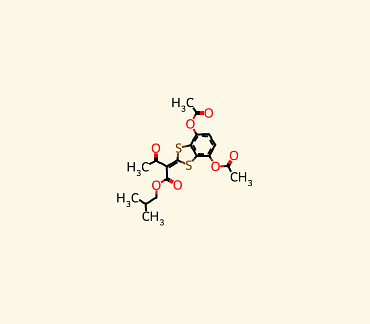 CC(=O)Oc1ccc(OC(C)=O)c2c1SC(=C(C(C)=O)C(=O)OCC(C)C)S2